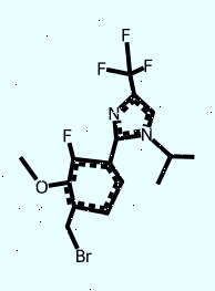 COc1c(CBr)ccc(-c2nc(C(F)(F)F)cn2C(C)C)c1F